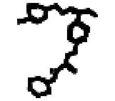 CCC(=NOCc1ccc(F)cc1)c1ccc(OCC(=O)NCC2CCOCC2)nc1